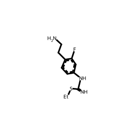 CCSC(=N)Nc1ccc(CCN)c(F)c1